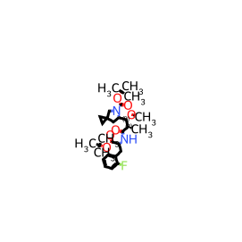 CO[C@@H](C1CC2(CC2)CN1C(=O)OC(C)(C)C)[C@@H](C)C(=O)NC(Cc1ccccc1F)C(=O)OC(C)(C)C